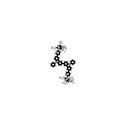 CC1=NC(C)(C)C(C)(C)N1c1ccc(-c2ccc3c(c2)c2cc(-c4ccc5c(c4)c4cc(-c6ccc(N7C(C)=NC(C)(C)C7(C)C)nc6)ccc4n5-c4ccccc4)ccc2n3-c2ccccc2)cn1